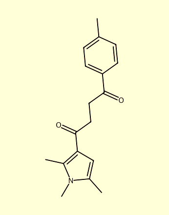 Cc1ccc(C(=O)CCC(=O)c2cc(C)n(C)c2C)cc1